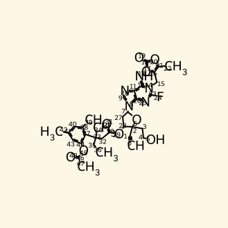 C#CC1(CCO)OC(n2cnc3c(=N)n(Cc4oc(=O)oc4C)c(F)nc32)CC1OC(=O)CC(C)(CC)c1c(C)cc(C)cc1OC(C)=O